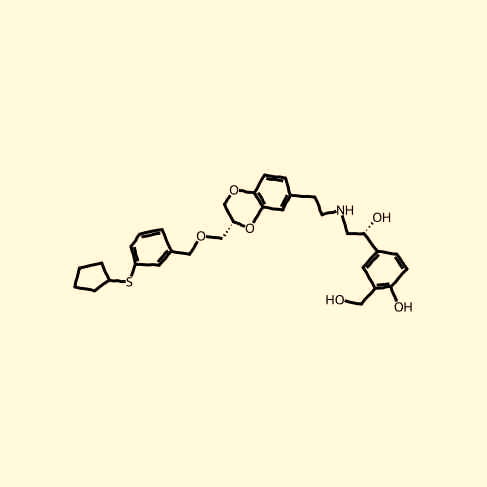 OCc1cc([C@@H](O)CNCCc2ccc3c(c2)O[C@H](COCc2cccc(SC4CCCC4)c2)CO3)ccc1O